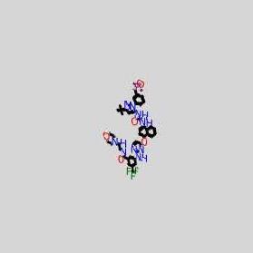 CC(C)(C)c1cc(NC(=O)Nc2ccc(Oc3ccnc(Nc4cc(C(=O)NCCN5CCOCC5)cc(C(F)(F)F)c4)n3)c3ccccc23)n(-c2cccc(CP(C)(C)=O)c2)n1